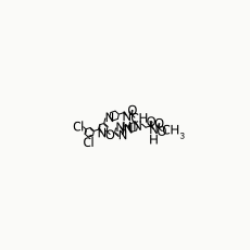 COC(=O)NC(=O)CCN1CCN(c2ncc(Oc3cc(CN4CCC(CNC(C)=O)CC4)cc(-c4cc(Cl)cc(Cl)c4)n3)cn2)CC1